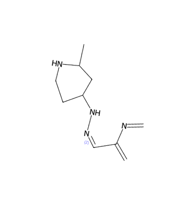 C=NC(=C)/C=N\NC1CCNC(C)C1